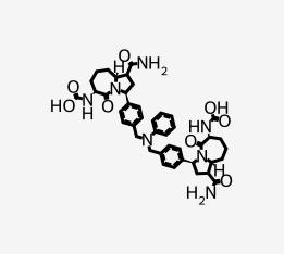 NC(=O)C1C[C@@H](c2ccc(CN(Cc3ccc([C@@H]4CC(C(N)=O)[C@@H]5CCC[C@@H](NC(=O)O)C(=O)N45)cc3)c3ccccc3)cc2)N2C(=O)[C@H](NC(=O)O)CCC[C@@H]12